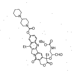 CCc1c2c(nc3ccc(OC(=O)N4CCC(N5CCCCC5)CC4)cc13)-c1cc3c(c(=O)n1C2)COC(=O)C3(CC)OC(C=O)CNC(=O)OC(C)(C)C